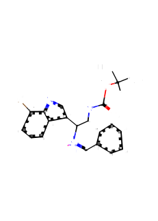 CC(C)(C)OC(=O)NCC(c1c[nH]c2c(Br)cccc12)/[N+]([O-])=C\c1ccccc1